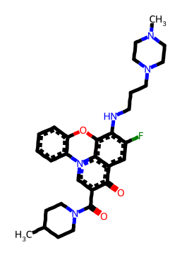 CC1CCN(C(=O)c2cn3c4c(c(NCCCN5CCN(C)CC5)c(F)cc4c2=O)Oc2ccccc2-3)CC1